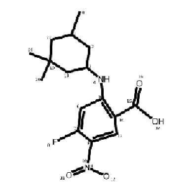 CC1CC(Nc2cc(F)c([N+](=O)[O-])cc2C(=O)O)CC(C)(C)C1